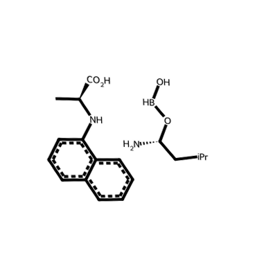 CC(C)C[C@H](N)OBO.C[C@H](Nc1cccc2ccccc12)C(=O)O